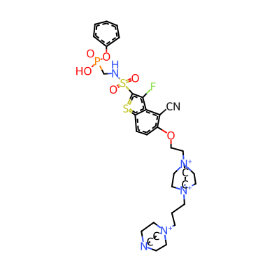 N#Cc1c(OCC[N+]23CC[N+](CCC[N+]45CCN(CC4)CC5)(CC2)CC3)ccc2sc(S(=O)(=O)NCP(=O)(O)Oc3ccccc3)c(F)c12